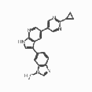 Cn1cnc2ccc(-c3c[nH]c4ncc(-c5cnc(C6CC6)nc5)cc34)cc21